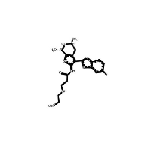 COCCNCCC(=O)Nc1sc2c(c1-c1nc3cc(F)ccc3s1)C[C@@H](C)N[C@H]2C